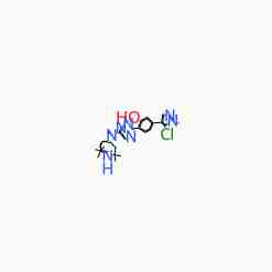 CN(c1cnc(-c2ccc(-c3cnn(C)c3Cl)cc2O)nn1)C1CC(C)(C)NC(C)(C)C1